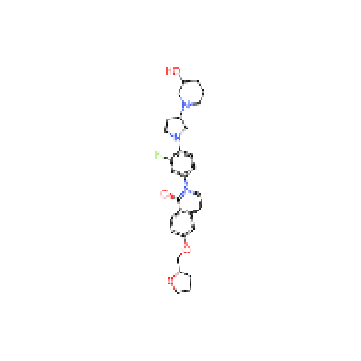 O=c1c2ccc(OC[C@H]3CCCO3)cc2ccn1-c1ccc(N2CCC(N3CCCC(O)C3)C2)c(F)c1